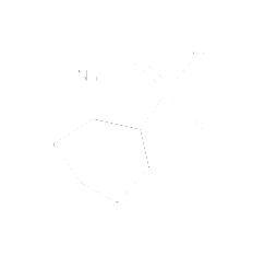 O=S(=O)([O-])C1C[CH]CCC1.[Na+]